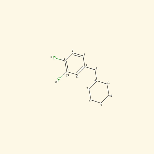 Fc1ccc(CC2CCCCC2)cc1F